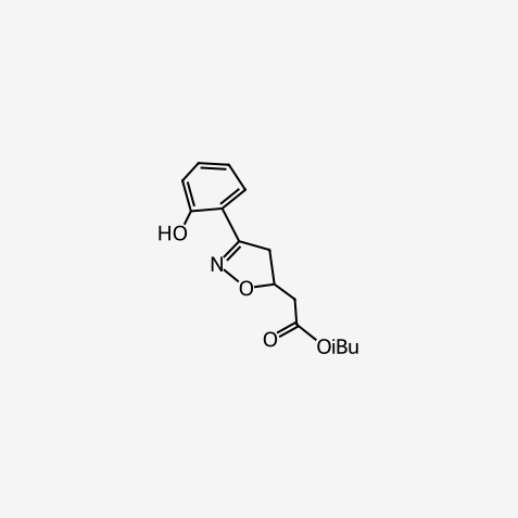 CC(C)COC(=O)CC1CC(c2ccccc2O)=NO1